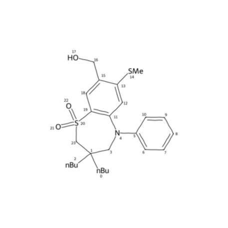 CCCCC1(CCCC)CN(c2ccccc2)c2cc(SC)c(CO)cc2S(=O)(=O)C1